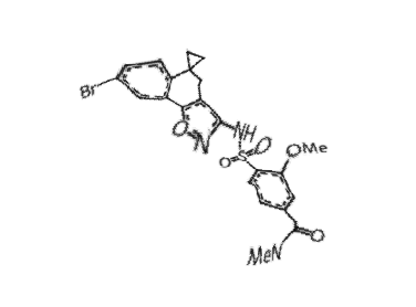 CNC(=O)c1ccc(S(=O)(=O)Nc2noc3c2CC2(CC2)c2ccc(Br)cc2-3)c(OC)c1